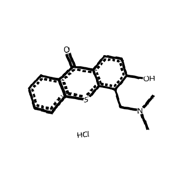 CN(C)Cc1c(O)ccc2c(=O)c3ccccc3sc12.Cl